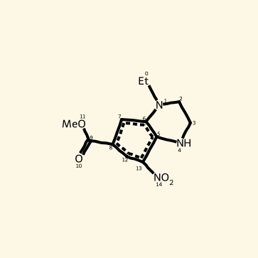 CCN1CCNc2c1cc(C(=O)OC)cc2[N+](=O)[O-]